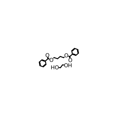 O=C(OCCCCOC(=O)c1ccccc1)c1ccccc1.OCCO